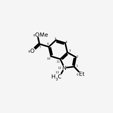 CCc1cc2ccc(C(=O)OC)cc2n1C